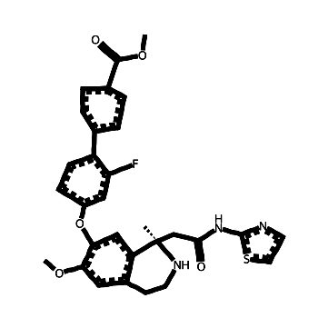 COC(=O)c1ccc(-c2ccc(Oc3cc4c(cc3OC)CCN[C@]4(C)CC(=O)Nc3nccs3)cc2F)cc1